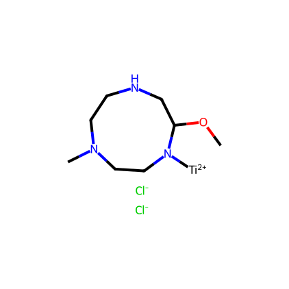 COC1CNCCN(C)CC[N]1[Ti+2].[Cl-].[Cl-]